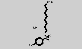 O=S(=O)(O)CCCCCCCCOS(=O)(=O)c1ccc(C(F)(F)F)cc1.[NaH]